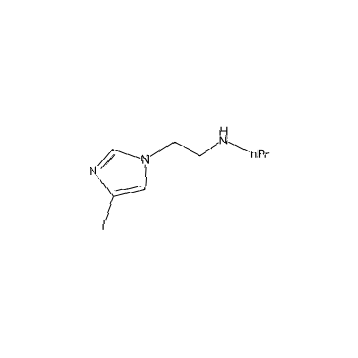 CCCNCCn1cnc(I)c1